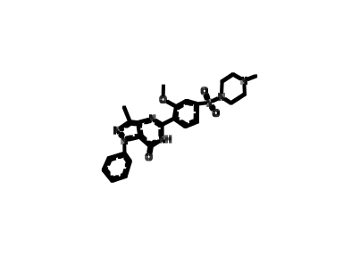 COc1cc(S(=O)(=O)N2CCN(C)CC2)ccc1-c1nc2c(C)nn(-c3ccccc3)c2c(=O)[nH]1